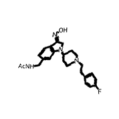 CC(=O)NCc1ccc2c(c1)N(C1CCN(CCc3ccc(F)cc3)CC1)C/C2=N\O